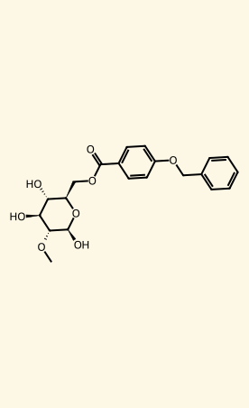 CO[C@@H]1[C@@H](O)[C@H](O)[C@@H](COC(=O)c2ccc(OCc3ccccc3)cc2)O[C@H]1O